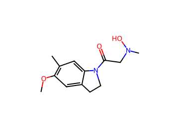 COc1cc2c(cc1C)N(C(=O)CN(C)O)CC2